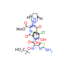 COC(=O)C1=C(C[N+]2(C)[C@@H]3CC[C@H]2CN(NC(=O)c2ccc(O)c(O)c2Cl)C3)CS[C@@H]2[C@H](NC(=O)/C(=N\OC(C)(C)C(=O)O)c3csc(N)n3)C(=O)N12